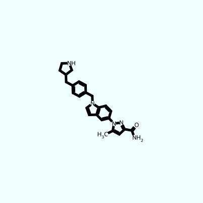 Cc1cc(C(N)=O)nn1-c1ccc2c(ccn2Cc2ccc(CC3CCNC3)cc2)c1